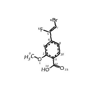 COc1cc(C(F)=CBr)ccc1C(=O)O